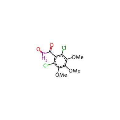 COc1c(Cl)c(C(=O)[PH2]=O)c(Cl)c(OC)c1OC